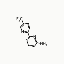 Nc1ccnc(-c2ccc(C(F)(F)F)cn2)n1